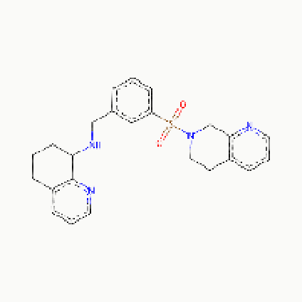 O=S(=O)(c1cccc(CNC2CCCc3cccnc32)c1)N1CCc2cccnc2C1